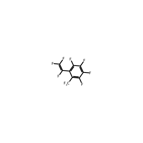 FC(F)=C(F)c1c(F)c(F)c(F)c(F)c1C(F)(F)F